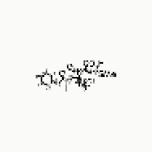 CSCC1=C(C(=O)O)N2C(=O)C(NC(=O)Cc3ccccc3)[C@H]2[S+]([O-])C1